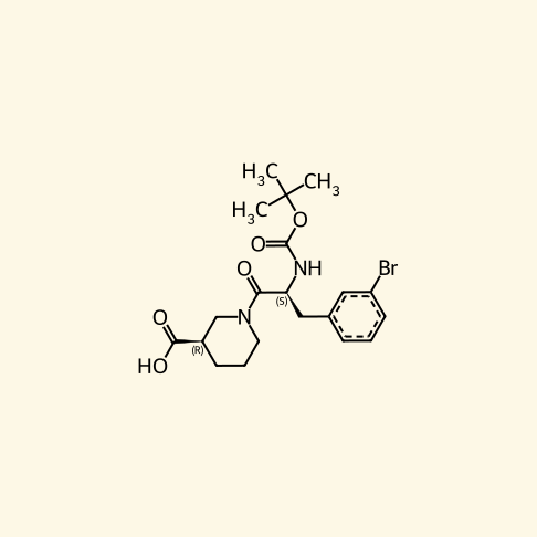 CC(C)(C)OC(=O)N[C@@H](Cc1cccc(Br)c1)C(=O)N1CCC[C@@H](C(=O)O)C1